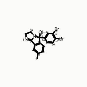 Cc1ccc2c(c1)C1=NCCN1C2(O)c1ccc(Br)c(Br)c1